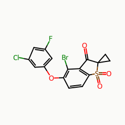 O=C1c2c(ccc(Oc3cc(F)cc(Cl)c3)c2Br)S(=O)(=O)C12CC2